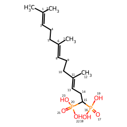 CC(C)=CCC/C(C)=C/CC/C(C)=C/CC(P(=O)(O)O)P(=O)(O)O